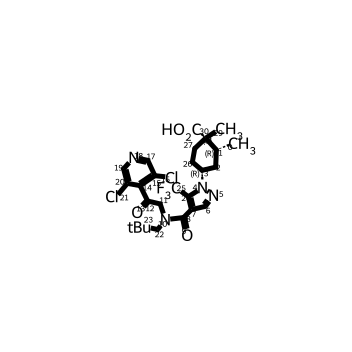 C[C@@H]1C[C@H](n2ncc(C(=O)N(CC(=O)c3c(Cl)cncc3Cl)CC(C)(C)C)c2C(F)(F)F)CC[C@]1(C)C(=O)O